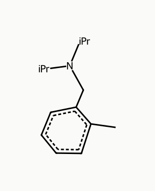 Cc1ccccc1CN(C(C)C)C(C)C